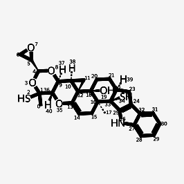 CC1(S)O[C@@H](C2CO2)O[C@H]2[C@H]3C[C@@]34C(=CC[C@@]3(C)[C@@]4(O)CC[C@H]4Cc5c([nH]c6ccccc56)[C@@]43S)O[C@@H]21